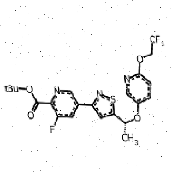 C[C@@H](Oc1ccc(OCC(F)(F)F)nc1)c1cc(-c2cnc(C(=O)OC(C)(C)C)c(F)c2)ns1